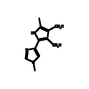 Cc1[nH]c(-c2cn(C)cn2)c(C(=O)O)c1C(=O)O